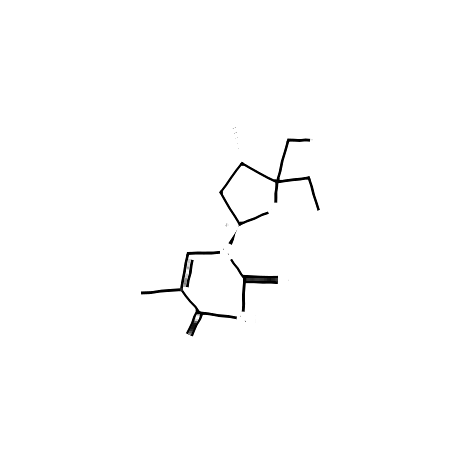 Cc1cn([C@H]2C[C@H](C)C(CO)(CO)O2)c(=O)[nH]c1=O